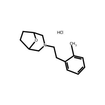 Cc1ccccc1CCN1CC2CCC(C1)O2.Cl